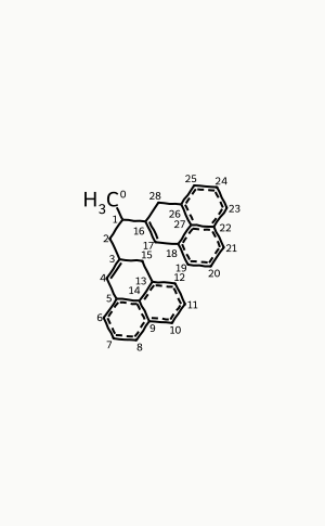 CC(CC1=Cc2cccc3cccc(c23)C1)C1=Cc2cccc3cccc(c23)C1